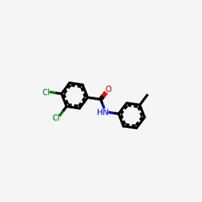 Cc1cccc(NC(=O)c2ccc(Cl)c(Cl)c2)c1